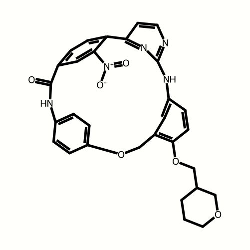 O=C1Nc2ccc(cc2)OCc2cc(ccc2OCC2CCCOC2)Nc2nccc(n2)-c2ccc1cc2[N+](=O)[O-]